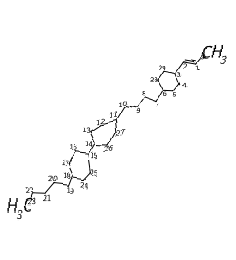 C/C=C/C1CCC(CCCCC2CCC(C3CCC(CCCCC)CC3)CC2)CC1